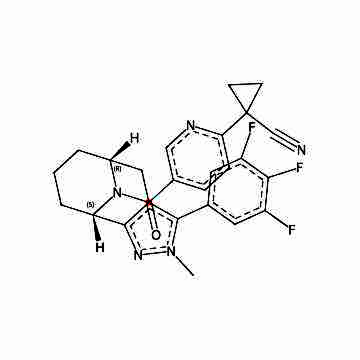 Cn1nc2c(c1-c1cc(F)c(F)c(F)c1)C[C@H]1CCC[C@@H]2N1C(=O)c1ccc(C2(C#N)CC2)nc1